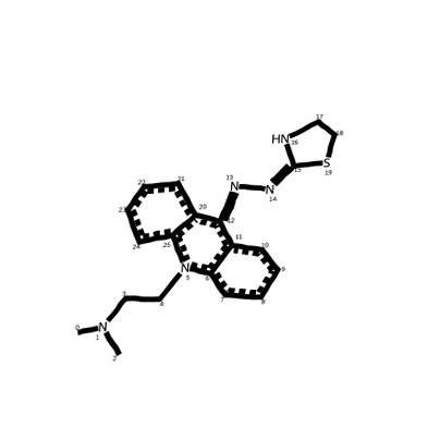 CN(C)CCn1c2ccccc2c(=NN=C2NCCS2)c2ccccc21